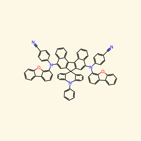 N#Cc1ccc(N(c2cc3c(c4ccccc24)-c2c(cc(N(c4ccc(C#N)cc4)c4cccc5c4oc4ccccc45)c4ccccc24)C32c3ccccc3N(c3ccccc3)c3ccccc32)c2cccc3c2oc2ccccc23)cc1